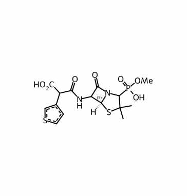 COP(=O)(O)C1N2C(=O)C(NC(=O)C(C(=O)O)c3ccsc3)[C@@H]2SC1(C)C